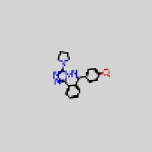 COc1ccc(-c2nn3c(N4CCCC4)nnc3c3ccccc23)cc1